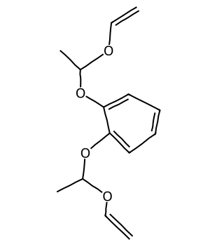 C=COC(C)Oc1ccccc1OC(C)OC=C